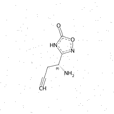 C#CC[C@@H](N)c1noc(=O)[nH]1